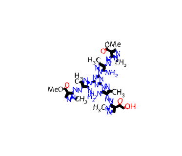 COC(=O)c1cnn(C)c1/N=N/c1c(C)nn(-c2nc(-n3nc(C)c(/N=N/c4c(C(=O)CO)cnn4C)c3N)nc(-n3nc(C)c(/N=N/c4c(C(=O)OC)cnn4C)c3N)n2)c1N